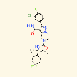 CC(C)(NC(=O)N1CCn2nc(-c3ccc(F)c(Cl)c3)c(C(N)=O)c2C1)C1CCC(F)(F)CC1